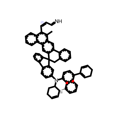 Cc1c(/C=C\C=N)c2ccccc2c2cc3c(cc12)-c1ccccc1CC31c2ccccc2-c2ccc(N(c3ccc(C4=CCCC=C4)cc3)C3CCC=C[C@H]3c3ccccc3)cc21